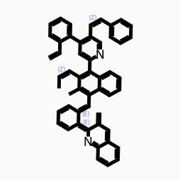 C=Cc1ccccc1-c1cc(-c2c(/C=C\C)c(C)c(/C=c3\cccc\c3=c3/nc4ccccc4cc3=C)c3ccccc23)ncc1/C=C\c1ccccc1